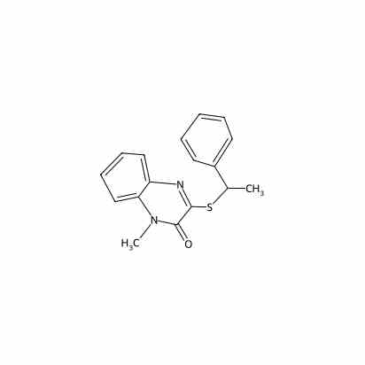 CC(Sc1nc2ccccc2n(C)c1=O)c1ccccc1